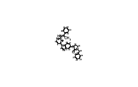 C[C@H](Nc1nccc(-n2cnc3cc(N4CCN(Cc5ccccc5)C4=O)ccc32)n1)c1ccccc1